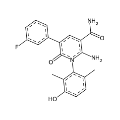 Cc1ccc(O)c(C)c1-n1c(N)c(C(N)=O)cc(-c2cccc(F)c2)c1=O